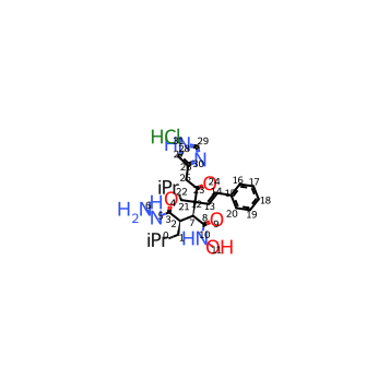 CC(C)C[C@@H](C(=O)NN)[C@H](C(=O)NO)C(/C=C/c1ccccc1)(CC(C)C)C(=O)Cc1c[nH]cn1.Cl